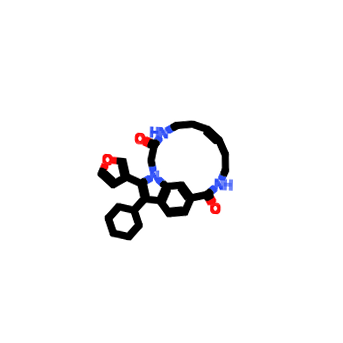 O=C1Cn2c(-c3ccoc3)c(C3CCCCC3)c3ccc(cc32)C(=O)NCC/C=C\CCN1